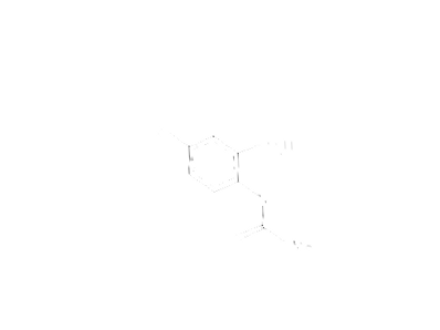 CSC(=S)Nc1ccc(C)cc1C(=O)O